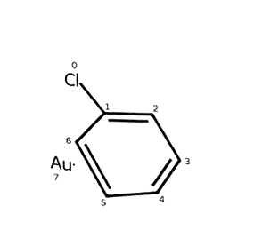 Clc1ccccc1.[Au]